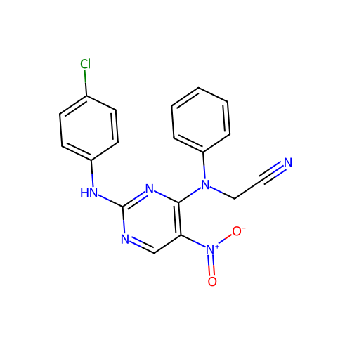 N#CCN(c1ccccc1)c1nc(Nc2ccc(Cl)cc2)ncc1[N+](=O)[O-]